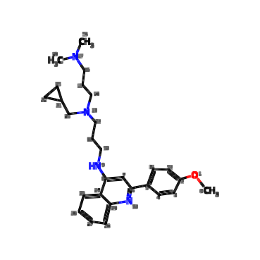 COc1ccc(-c2cc(NCCCN(CCCN(C)C)CC3CC3)c3ccccc3n2)cc1